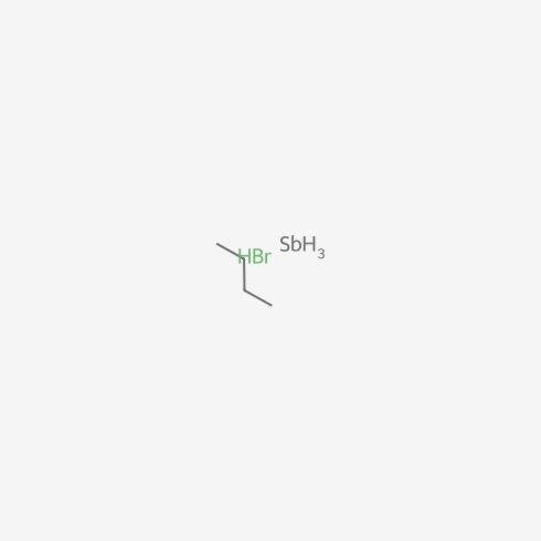 Br.CCCC.[SbH3]